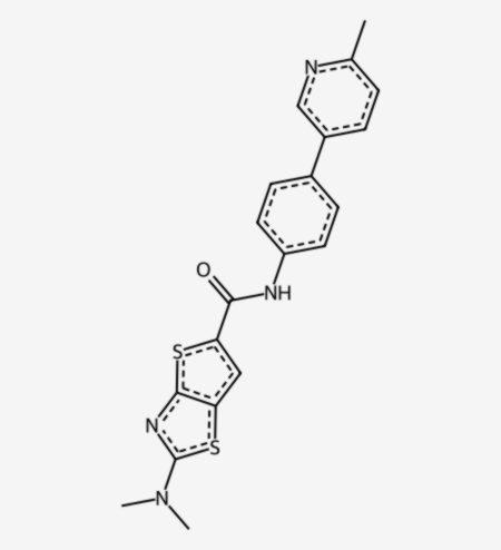 Cc1ccc(-c2ccc(NC(=O)c3cc4sc(N(C)C)nc4s3)cc2)cn1